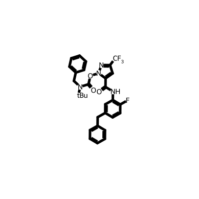 CC(C)(C)N(Cc1ccccc1)C(=O)On1nc(C(F)(F)F)cc1C(=O)Nc1cc(Cc2ccccc2)ccc1F